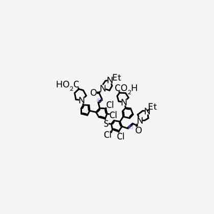 CCN1CCN(C(=O)/C=C/c2c(-c3cccc(N4CCC(C(=O)O)CC4)c3)cc(Sc3cc(-c4cccc(N5CCC(C(=O)O)CC5)c4)c(/C=C/C(=O)N4CCN(CC)CC4)c(Cl)c3Cl)c(Cl)c2Cl)CC1